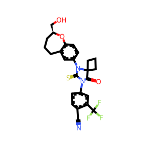 N#Cc1ccc(N2C(=O)C3(CCC3)N(c3ccc4c(c3)CCC[C@@H](CO)O4)C2=S)cc1C(F)(F)F